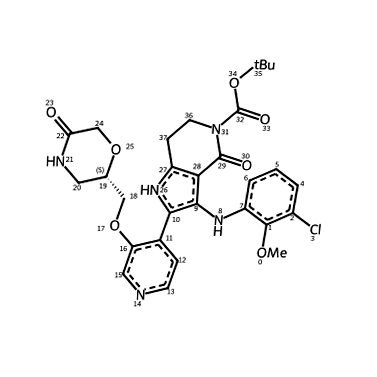 COc1c(Cl)cccc1Nc1c(-c2ccncc2OC[C@@H]2CNC(=O)CO2)[nH]c2c1C(=O)N(C(=O)OC(C)(C)C)CC2